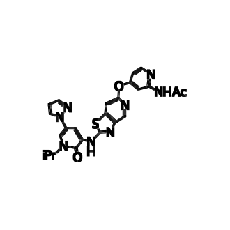 CC(=O)Nc1cc(Oc2cc3sc(Nc4cc(-n5cccn5)cn(C(C)C)c4=O)nc3cn2)ccn1